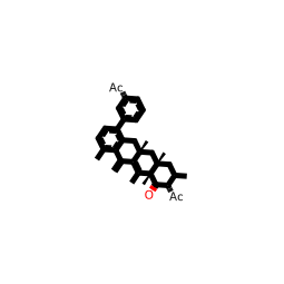 C=C1C2=C(C)[C@@]3(C)C(=O)C(C(C)=O)C(C)C[C@@]3(C)C[C@@]2(C)Cc2c(-c3cccc(C(C)=O)c3)ccc(C)c21